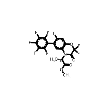 COC(=O)[C@@H](C)N1C(=O)C(F)(F)Oc2cc(F)c(-c3c(F)c(F)c(F)c(F)c3F)cc21